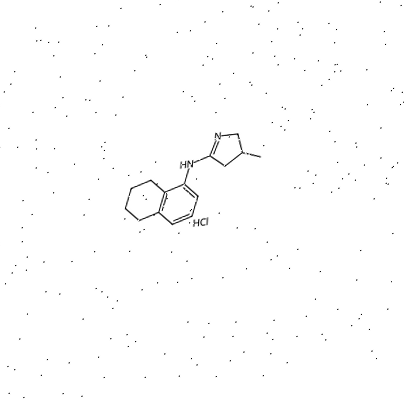 CC1CN=C(Nc2cccc3c2CCCC3)C1.Cl